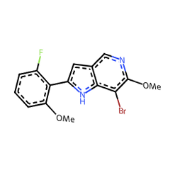 COc1cccc(F)c1-c1cc2cnc(OC)c(Br)c2[nH]1